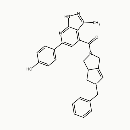 Cc1n[nH]c2nc(-c3ccc(O)cc3)cc(C(=O)N3CC4=CN(Cc5ccccc5)CC4C3)c12